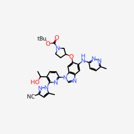 Cc1ccc(Nc2cc3ncn(-c4ccc(C(C)O)c(-n5nc(C#N)cc5C)n4)c3cc2OC2CCN(C(=O)OC(C)(C)C)C2)nn1